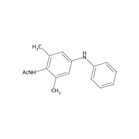 CC(=O)Nc1c(C)cc(Nc2ccccc2)cc1C